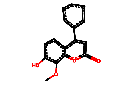 COc1c(O)ccc2c(-c3ccccc3)cc(=O)oc12